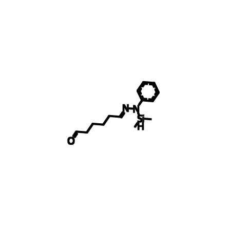 C[SiH](C)N(N=CCCCCC=O)c1ccccc1